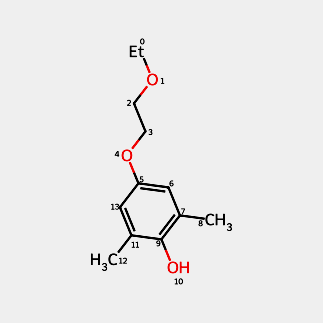 CCOCCOc1cc(C)c(O)c(C)c1